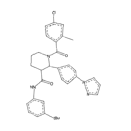 Cc1cc(Cl)ccc1C(=O)N1CCCC(C(=O)Nc2cccc(C(C)(C)C)c2)C1c1ccc(-n2cccn2)cc1